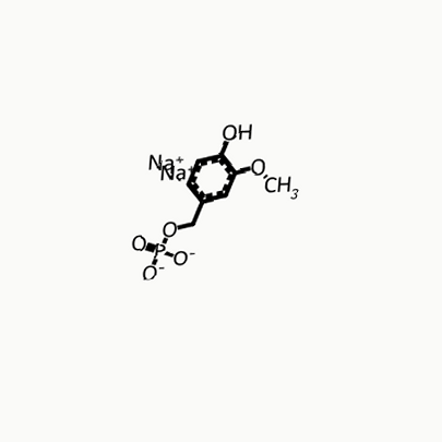 COc1cc(COP(=O)([O-])[O-])ccc1O.[Na+].[Na+]